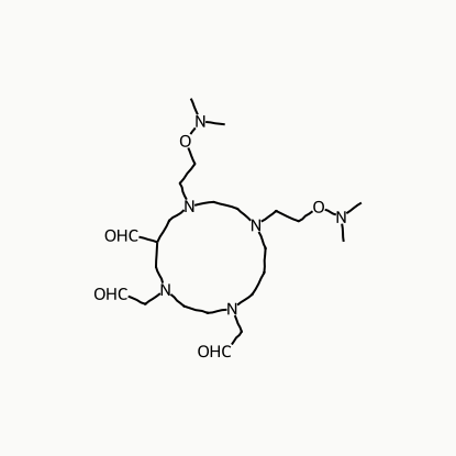 CN(C)OCCN1CCCN(CC=O)CCN(CC=O)CC(C=O)CN(CCON(C)C)CC1